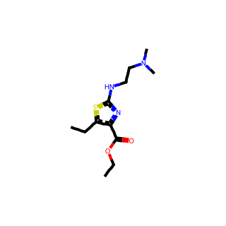 CCOC(=O)c1nc(NCCN(C)C)sc1CC